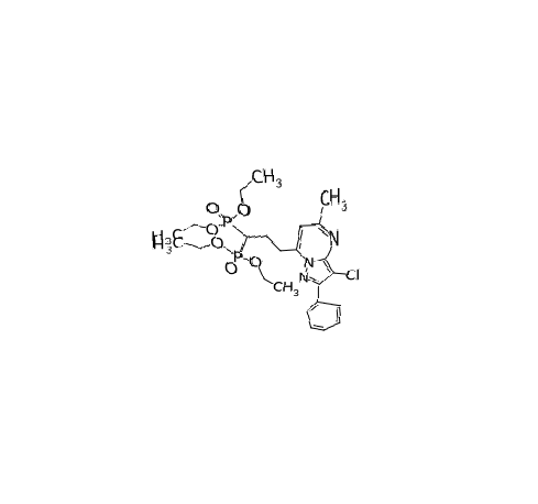 CCOP(=O)(OCC)C(CCc1cc(C)nc2c(Cl)c(-c3ccccc3)nn12)P(=O)(OCC)OCC